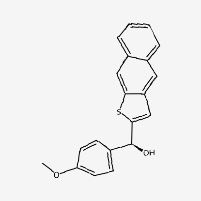 COc1ccc([C@H](O)c2cc3cc4ccccc4cc3s2)cc1